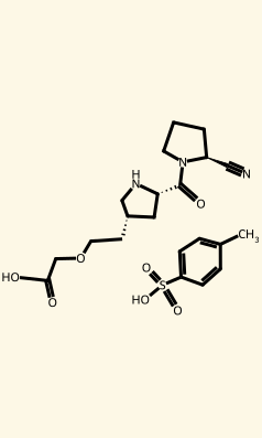 Cc1ccc(S(=O)(=O)O)cc1.N#C[C@@H]1CCCN1C(=O)[C@@H]1C[C@H](CCOCC(=O)O)CN1